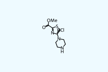 COC(=O)c1nc(N2CCNCC2)cs1.Cl